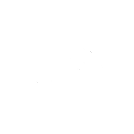 Cc1nnc2sc(-c3ccc(CN)cc3)nn12